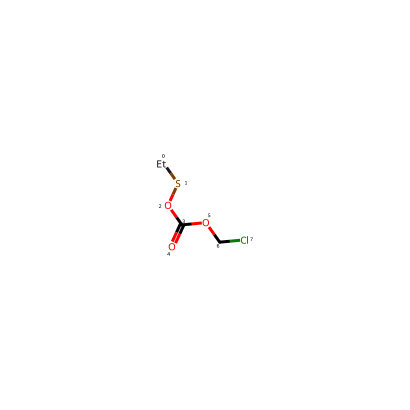 CCSOC(=O)OCCl